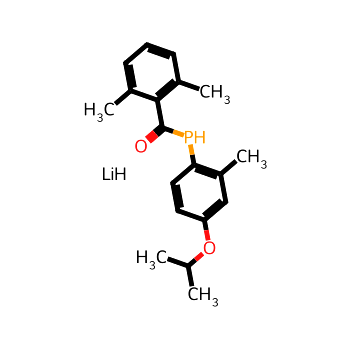 Cc1cc(OC(C)C)ccc1PC(=O)c1c(C)cccc1C.[LiH]